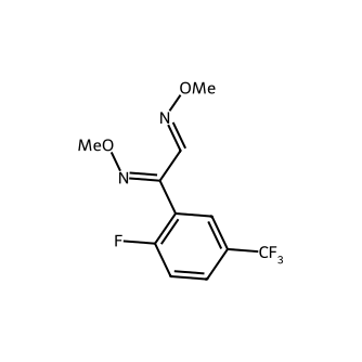 CON=CC(=NOC)c1cc(C(F)(F)F)ccc1F